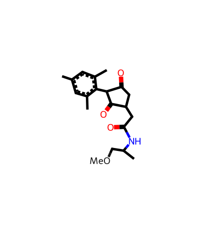 COCC(C)NC(=O)CC1CC(=O)C(c2c(C)cc(C)cc2C)C1=O